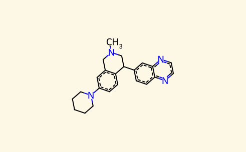 CN1Cc2cc(N3CCCCC3)ccc2C(c2ccc3nccnc3c2)C1